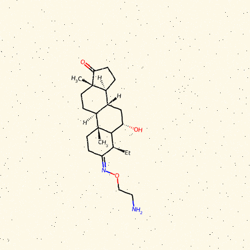 CC[C@H]1/C(=N\OCCN)CC[C@@]2(C)C1[C@@H](O)C[C@@H]1[C@@H]2CC[C@]2(C)C(=O)CC[C@@H]12